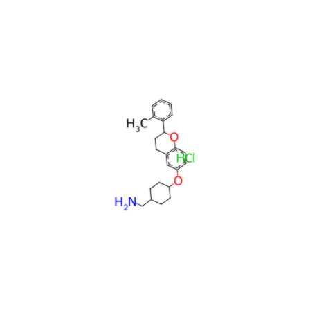 Cc1ccccc1C1CCc2cc(OC3CCC(CN)CC3)ccc2O1.Cl